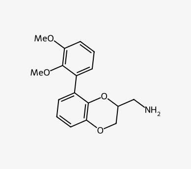 COc1cccc(-c2cccc3c2OC(CN)CO3)c1OC